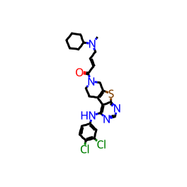 CN(C/C=C/C(=O)N1CCc2c(sc3ncnc(Nc4ccc(Cl)c(Cl)c4)c23)C1)C1CCCCC1